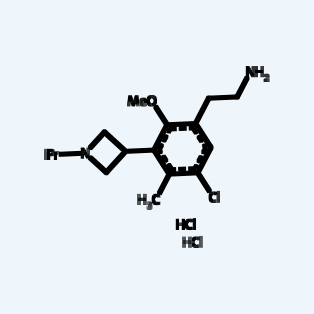 COc1c(CCN)cc(Cl)c(C)c1C1CN(C(C)C)C1.Cl.Cl